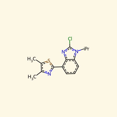 Cc1nc(-c2cccc3c2nc(Cl)n3C(C)C)sc1C